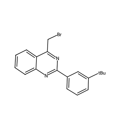 CC(C)(C)c1cccc(-c2nc(CBr)c3ccccc3n2)c1